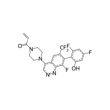 C=CC(=O)N1CCN(c2cnnc3c(F)c(-c4c(O)cc(F)cc4F)c(C(F)(F)F)cc23)CC1